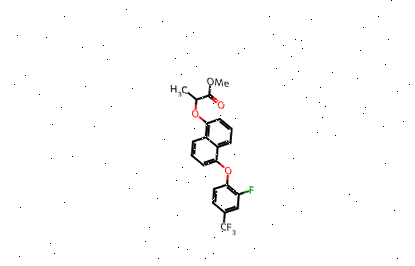 COC(=O)C(C)Oc1cccc2c(Oc3ccc(C(F)(F)F)cc3F)cccc12